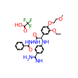 CCOc1cc(C(Nc2ccc(C(=N)N)cc2)C(=O)NNC(=O)c2ccccc2)ccc1OCCOC.O=C(O)C(F)(F)F